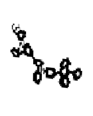 CCc1cccc(-n2c3ccccc3c3cc(-c4ccc5c(c4)c4ccccc4n5-c4ccc(-c5c6ccccc6c(-c6ccccc6)c6ccccc56)cc4)ccc32)c1